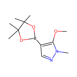 COc1c(B2OC(C)(C)C(C)(C)O2)cnn1C